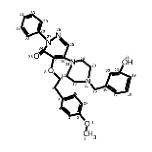 COc1ccc(CCOc2c(N3CCN(Cc4cccc(O)c4)CC3)cnn(-c3ccccc3)c2=O)cc1